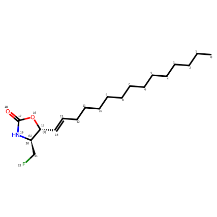 CCCCCCCCCCCCCC=C[C@H]1OC(=O)N[C@@H]1CF